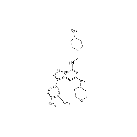 Cc1ccc(-c2cnn3c(NCC4CCC(O)CC4)cc(NC4CCOCC4)nc23)cc1C